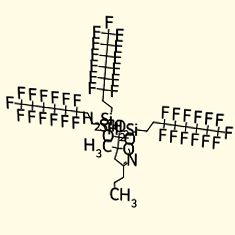 CCCC1=NOC(C)(C(O[SiH2]CCC(F)(F)C(F)(F)C(F)(F)C(F)(F)C(F)(F)C(F)(F)F)(O[SiH2]CCC(F)(F)C(F)(F)C(F)(F)C(F)(F)C(F)(F)C(F)(F)F)O[SiH2]CCC(F)(F)C(F)(F)C(F)(F)C(F)(F)C(F)(F)C(F)(F)F)C1